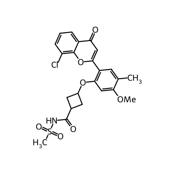 COc1cc(OC2CC(C(=O)NS(C)(=O)=O)C2)c(-c2cc(=O)c3cccc(Cl)c3o2)cc1C